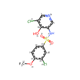 O=S(=O)(Nc1cncc(Cl)c1O)c1ccc(OC(F)(F)F)c(Cl)c1